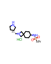 CCCS(=O)(=O)NC1CCC2(CC1)CN(C[C@@H]1CCNC1)C2.Cl